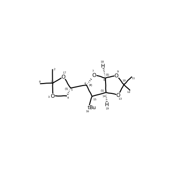 CC1(C)OC[C@@H]([C@@H]2O[C@H]3OC(C)(C)O[C@H]3C2C(C)(C)C)O1